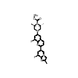 Cc1cn2cc(-c3ccc4cc(N5C[C@@H](C)N(C(=O)OC(C)(C)C)[C@H](C)C5)cc(F)c4n3)cc(F)c2n1